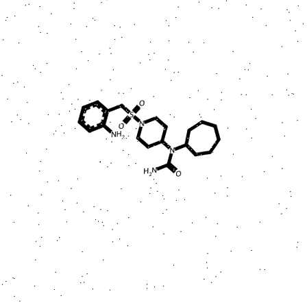 NC(=O)N(C1CCCCCC1)C1CCN(S(=O)(=O)Cc2ccccc2N)CC1